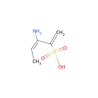 C=C(/C(N)=C\C)S(=O)(=O)O